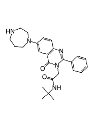 CC(C)(C)NC(=O)Cn1c(-c2ccccc2)nc2ccc(N3CCCNCC3)cc2c1=O